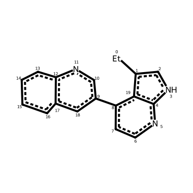 CCc1c[nH]c2nccc(-c3cnc4ccccc4c3)c12